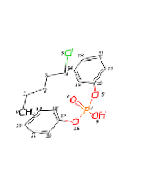 CCCCCCl.O=P(O)(Oc1ccccc1)Oc1ccccc1